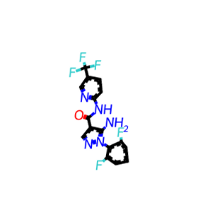 Nc1c(C(=O)Nc2ccc(C(F)(F)F)cn2)cnn1-c1c(F)cccc1F